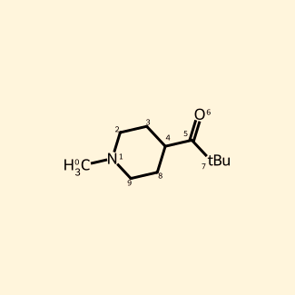 CN1CCC(C(=O)C(C)(C)C)CC1